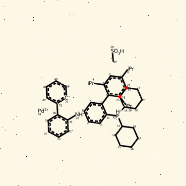 CC(C)c1cc(C(C)C)c(-c2ccccc2[PH+](C2CCCCC2)C2CCCCC2)c(C(C)C)c1.CS(=O)(=O)O.[NH-]c1ccccc1-c1[c-]cccc1.[Pd+2]